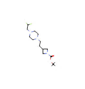 CC(C)(C)OC(=O)N1CC(CCN2CCN(CC(F)F)CC2)C1